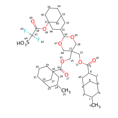 CC1CC2CC(C1)CC(C(=O)OCC1(COC(=O)C34CCCC(CC(C)C3)C4)COC(C3CC4CCCC(OC(=O)C(F)(F)S(=O)(=O)O)(C4)C3)OC1)C2